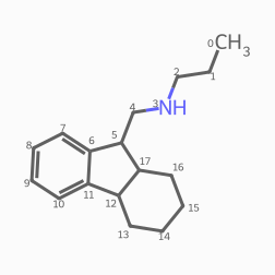 CCCNCC1c2ccccc2C2CCCCC21